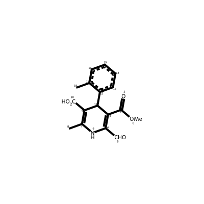 COC(=O)C1=C(C=O)NC(C)=C(C(=O)O)C1c1ccccc1C